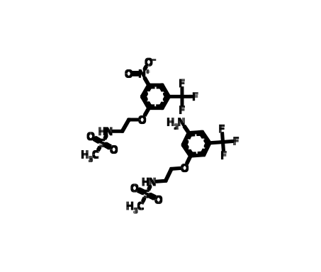 CS(=O)(=O)NCCOc1cc(N)cc(C(F)(F)F)c1.CS(=O)(=O)NCCOc1cc([N+](=O)[O-])cc(C(F)(F)F)c1